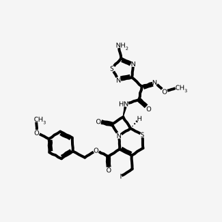 CO/N=C(\C(=O)N[C@@H]1C(=O)N2C(C(=O)OCc3ccc(OC)cc3)=C(CI)CS[C@H]12)c1nsc(N)n1